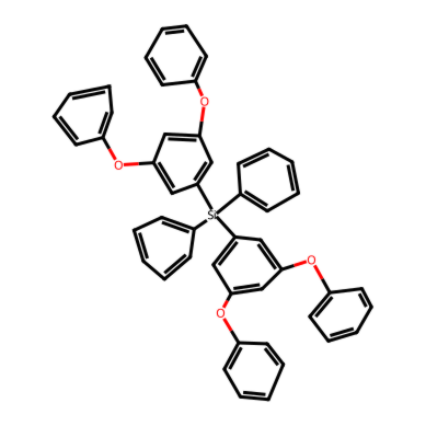 c1ccc(Oc2cc(Oc3ccccc3)cc([Si](c3ccccc3)(c3ccccc3)c3cc(Oc4ccccc4)cc(Oc4ccccc4)c3)c2)cc1